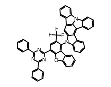 FC(F)(F)c1cc(-c2nc(-c3ccccc3)nc(-c3ccccc3)n2)c2oc3ccccc3c2c1-n1c2ccccc2c2c3c4ccccc4n4c5ccccc5c(cc21)c34